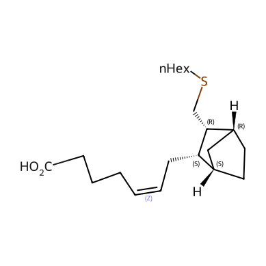 CCCCCCSC[C@@H]1[C@@H]2CC[C@@H](C2)[C@@H]1C/C=C\CCCC(=O)O